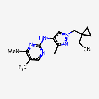 CNc1nc(Nc2cn(CC3(CC#N)CC3)nc2C)ncc1C(F)(F)F